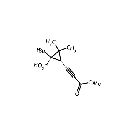 COC(=O)C#C[C@H]1C(C)(C)[C@]1(C(=O)O)C(C)(C)C